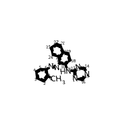 Cc1ccccc1N=Nc1c(Nc2ncncn2)ccc2ccccc12